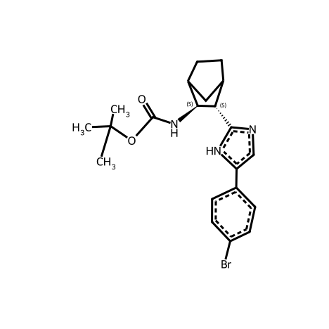 CC(C)(C)OC(=O)N[C@H]1C2CCC(C2)[C@@H]1c1ncc(-c2ccc(Br)cc2)[nH]1